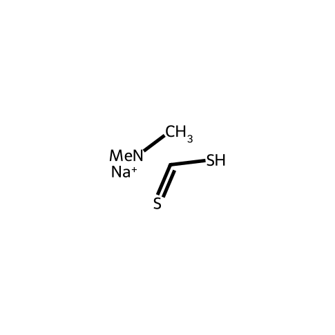 C[N-]C.S=CS.[Na+]